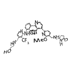 COc1nc(-c2ccnc(-c3cccc(Nc4nccc(CNCCO)c4C(F)(F)F)c3Cl)c2Cl)ccc1CNCC1CCC(=O)N1